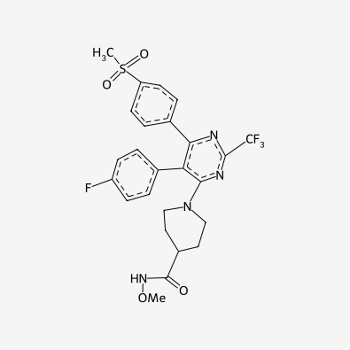 CONC(=O)C1CCN(c2nc(C(F)(F)F)nc(-c3ccc(S(C)(=O)=O)cc3)c2-c2ccc(F)cc2)CC1